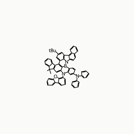 CC(C)(C)c1cc2c3c(c1)c1c4ccccc4ccc1n3B1c3ccc(N(c4ccccc4)c4ccccc4)cc3N(c3cccc4c3oc3ccccc34)c3cc4c(c-2c31)-c1ccccc1C4(C)C